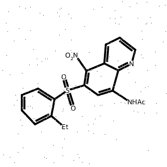 CCc1ccccc1S(=O)(=O)c1cc(NC(C)=O)c2ncccc2c1[N+](=O)[O-]